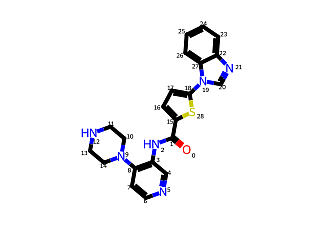 O=C(Nc1cnccc1N1CCNCC1)c1ccc(-n2cnc3ccccc32)s1